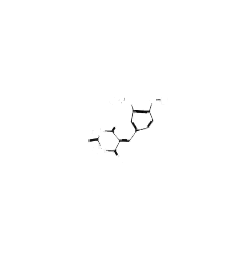 CCOc1ccc(C=C2C(=O)NC(=O)NC2=O)cc1OC